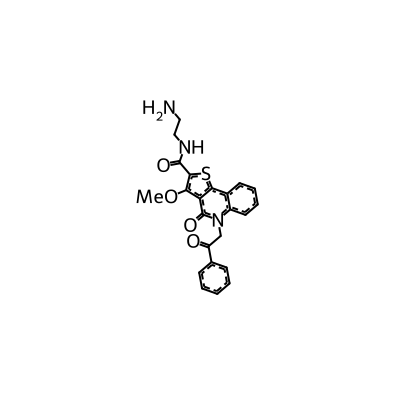 COc1c(C(=O)NCCN)sc2c1c(=O)n(CC(=O)c1ccccc1)c1ccccc21